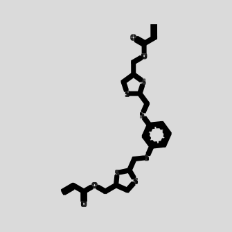 C=CC(=O)OCC1CSC(CSc2cccc(SCC3SCC(COC(=O)C=C)S3)c2)S1